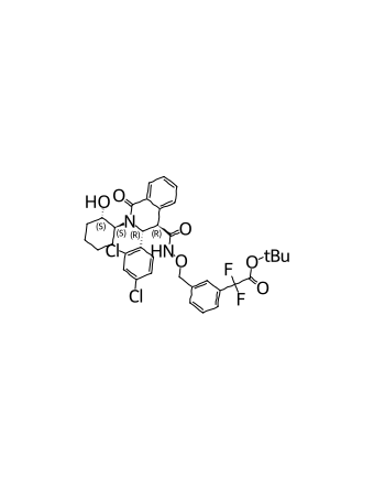 CC(C)(C)OC(=O)C(F)(F)c1cccc(CONC(=O)[C@@H]2c3ccccc3C(=O)N([C@H]3CCCC[C@@H]3O)[C@H]2c2ccc(Cl)cc2Cl)c1